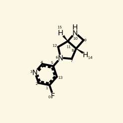 Fc1cncc(N2C[C@H]3CN[C@H]3C2)c1